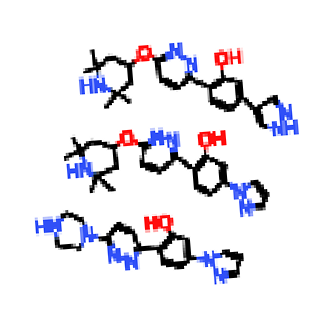 CC1(C)CC(Oc2ccc(-c3ccc(-c4cn[nH]c4)cc3O)nn2)CC(C)(C)N1.CC1(C)CC(Oc2ccc(-c3ccc(-n4cccn4)cc3O)nn2)CC(C)(C)N1.Oc1cc(-n2cccn2)ccc1-c1ccc(N2CCNCC2)nn1